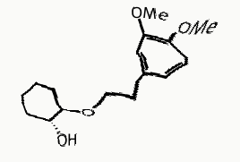 COc1ccc(CCO[C@@H]2CCCC[C@H]2O)cc1OC